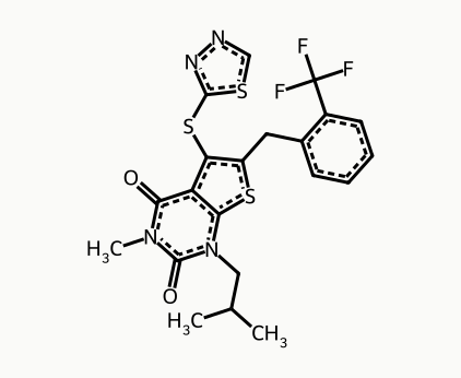 CC(C)Cn1c(=O)n(C)c(=O)c2c(Sc3nncs3)c(Cc3ccccc3C(F)(F)F)sc21